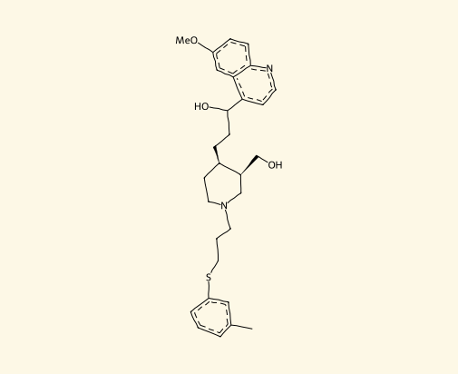 COc1ccc2nccc(C(O)CC[C@@H]3CCN(CCCSc4cccc(C)c4)C[C@@H]3CO)c2c1